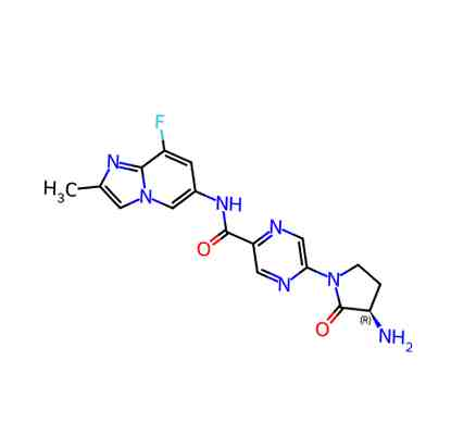 Cc1cn2cc(NC(=O)c3cnc(N4CC[C@@H](N)C4=O)cn3)cc(F)c2n1